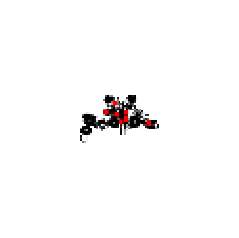 CC1(C)CCC(CN2CCN(c3ccc(C(=O)NS(=O)(=O)c4ccc(OCC5(F)CCOCC5)c([N+](=O)[O-])c4)c(Oc4cccc5c4c(N(C(=O)OC(C)(C)C)C(=O)OC(C)(C)C)nn5C(=O)OC(C)(C)C)c3)CC2)=C(c2ccc(Cl)cc2)C1